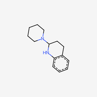 c1ccc2c(c1)CCC(N1CCCCC1)N2